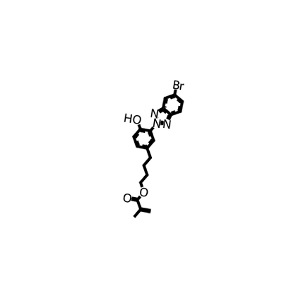 C=C(C)C(=O)OCCCCc1ccc(O)c(-n2nc3ccc(Br)cc3n2)c1